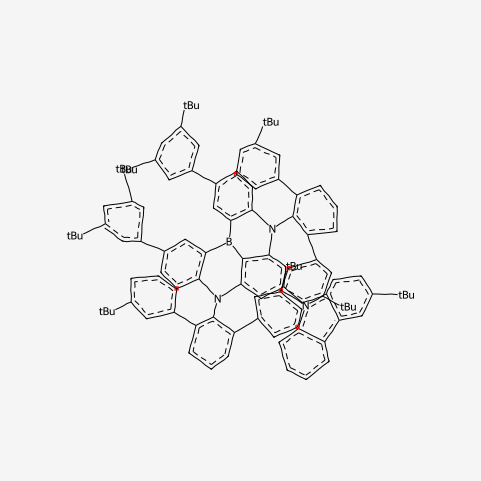 CC(C)(C)c1cccc(-c2cccc(-c3cccc(C(C)(C)C)c3)c2N2c3ccc(-c4cc(C(C)(C)C)cc(C(C)(C)C)c4)cc3B3c4cc(-c5cc(C(C)(C)C)cc(C(C)(C)C)c5)ccc4N(c4c(-c5cccc(C(C)(C)C)c5)cccc4-c4cccc(C(C)(C)C)c4)c4cc(-n5c6ccccc6c6cc(C(C)(C)C)ccc65)cc2c43)c1